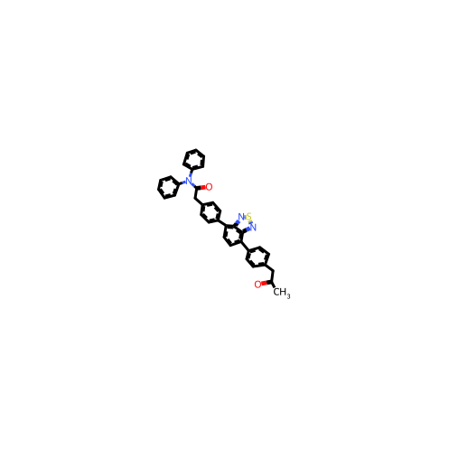 CC(=O)Cc1ccc(-c2ccc(-c3ccc(CC(=O)N(c4ccccc4)c4ccccc4)cc3)c3nsnc23)cc1